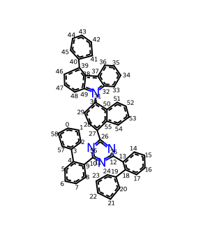 c1ccc(-c2ccccc2-c2nc(-c3ccccc3-c3ccccc3)nc(-c3ccc(-n4c5ccccc5c5c(-c6ccccc6)cccc54)c4ccccc34)n2)cc1